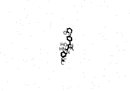 [C-]#[N+]c1ccc2[nH]c(-c3c(O)c(-c4ccc(N5CCCCC5=O)cc4)nn3C)nc2c1